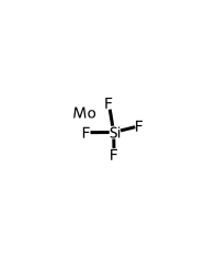 F[Si](F)(F)F.[Mo]